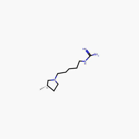 C[C@H]1CCN(CCCCCNC(=N)N)C1